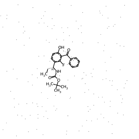 CC[C@@H](NC(=O)OC(C)(C)C)c1ccc(O)c(C(=O)c2ccccc2)c1F